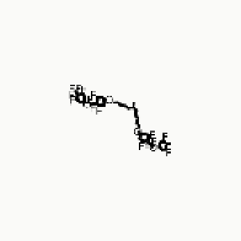 Cc1c(F)cc(OC(F)(F)c2c(F)cc(OCCCCCC(C)CCCCCOc3cc(F)c(C(F)(F)Oc4cc(F)c(C(F)(F)F)c(F)c4)c(F)c3)cc2F)cc1F